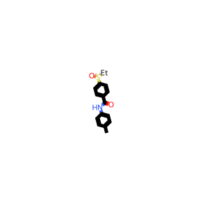 CC[S+]([O-])c1ccc(C(=O)Nc2ccc(C)cc2)cc1